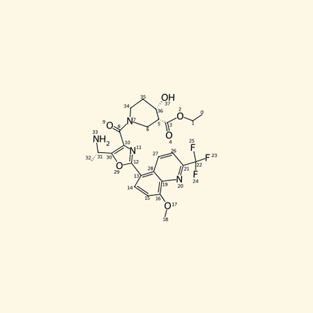 CCOC(=O)[C@@H]1CN(C(=O)c2nc(-c3ccc(OC)c4nc(C(F)(F)F)ccc34)oc2[C@H](C)N)CC[C@@H]1O